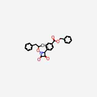 CC(Cc1ccccc1)ON1C(=O)C(=O)C1c1ccc(C(=O)OCc2ccccc2)cc1